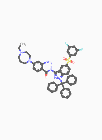 CCN1CCCN(c2ccc(C(=O)Nc3nn(C(c4ccccc4)(c4ccccc4)c4ccccc4)c4ccc(S(=O)(=O)c5cc(F)cc(F)c5)cc34)c(N)c2)CC1